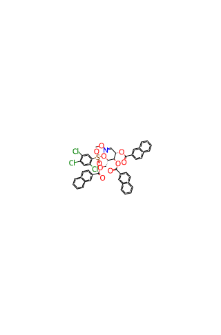 CO/N=C/[C@H](OC(=O)c1ccc2ccccc2c1)[C@@H](OC(=O)c1ccc2ccccc2c1)[C@H](COC(=O)c1ccc2ccccc2c1)OS(=O)(=O)c1cc(Cl)c(Cl)cc1Cl